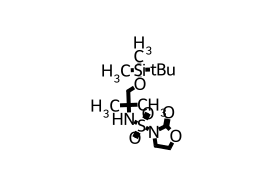 CC(C)(CO[Si](C)(C)C(C)(C)C)NS(=O)(=O)N1CCOC1=O